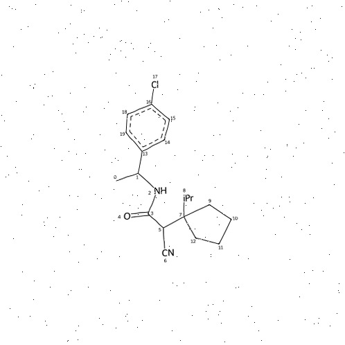 CC(NC(=O)C(C#N)C1(C(C)C)CCCC1)c1ccc(Cl)cc1